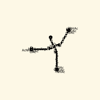 CC(=O)N[C@H]1[C@H]2OC[C@](COCCOCCOCCOCCn3cc(COCC(COCc4cn(CCOCCOCCOCCOC[C@@]56CO[C@@H](O5)[C@H](NC(C)=O)[C@@H](OC(C)=O)[C@H]6OC(C)=O)nn4)(COCc4cn(CCOCCOCCOCCOC[C@@]56CO[C@@H](O5)[C@H](NC(C)=O)[C@@H](OC(C)=O)[C@H]6OC(C)=O)nn4)NC(=O)CCCOCc4ccccc4)nn3)(O2)[C@H](OC(C)=O)[C@@H]1OC(C)=O